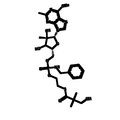 COc1nc(C)nc2c1ncn2[C@@H]1O[C@H](COP(=O)(NCc2ccccc2)OCCSC(=O)C(C)(C)CO)C(O)[C@]1(C)O